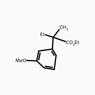 CCOC(=O)C(C)(CC)c1cccc(OC)c1